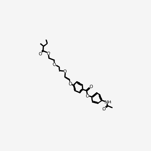 CCC(C)C(=O)OCCOCCOCCOc1ccc(C(=O)Oc2ccc(NC(C)=O)cc2)cc1